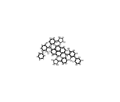 Cc1ccc(-c2ccccc2)c(C)c1N(c1cccc(C2CCCC2)c1)c1ccc2ccc3c(N(c4cccc(C5CCCC5)c4)c4c(C)ccc(-c5ccccc5)c4C)ccc4ccc1c2c43